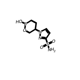 NS(=O)(=O)c1ccn(C2CCB(O)OC2)n1